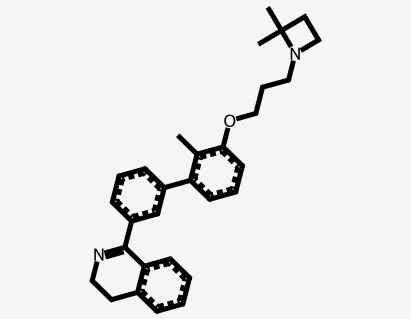 Cc1c(OCCCN2CCC2(C)C)cccc1-c1cccc(C2=NCCc3ccccc32)c1